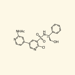 CC(=O)Nc1cc(-c2cnc(Cl)c(S(=O)(=O)N[C@H](CO)c3ccccc3)c2)ccn1